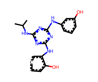 CC(C)Nc1nc(Nc2cccc(O)c2)nc(Nc2ccccc2O)n1